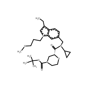 CCc1cn(CCCOC)c2cc(CN(C(=O)[C@H]3CN(C(=O)OC(C)(C)C)CCO3)C3CC3)ccc12